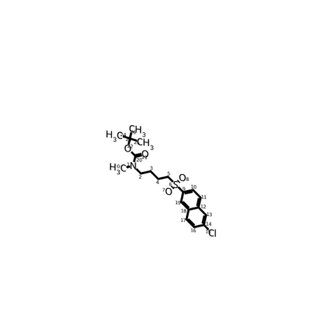 CN(CCCCS(=O)(=O)c1ccc2cc(Cl)ccc2c1)C(=O)OC(C)(C)C